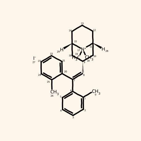 Cc1ccccc1C(=C[C@H]1C[C@H]2CCC[C@@H](C1)[N+]2(C)C)c1ccccc1C.[I-]